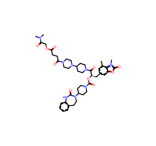 Cc1cc(C[C@@H](OC(=O)N2CCC(N3CCc4ccccc4NC3=O)CC2)C(=O)N2CCC(N3CCN(C(=O)CCC(=O)OCC(=O)N(C)C)CC3)CC2)cc2oc(=O)n(C)c12